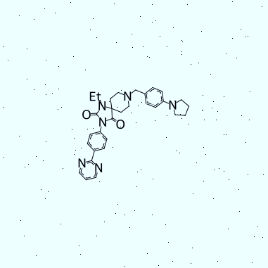 CCN1C(=O)N(c2ccc(-c3ncccn3)cc2)C(=O)C12CCN(Cc1ccc(N3CCCC3)cc1)CC2